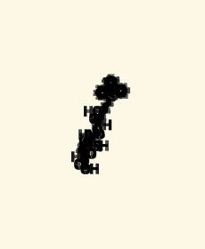 O=C(O)CNC(=O)C1(NC(=O)[C@@H](CS)NC(=O)CNC(=O)C[C@H](O)/C=C/CCSC(c2ccccc2)(c2ccccc2)c2ccccc2)CC1